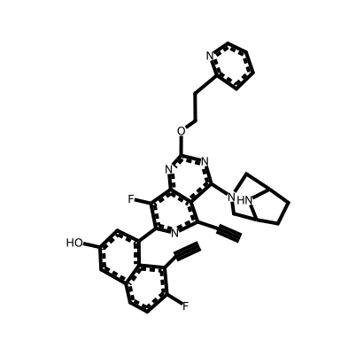 C#Cc1c(F)ccc2cc(O)cc(-c3nc(C#C)c4c(N5CC6CCC(C5)N6)nc(OCCc5ccccn5)nc4c3F)c12